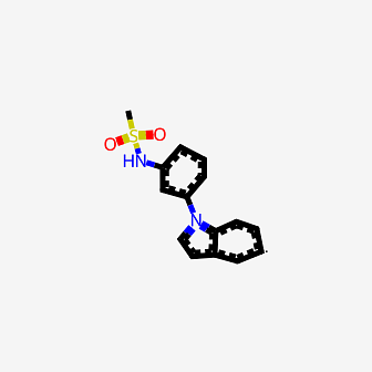 CS(=O)(=O)Nc1cccc(-n2ccc3c[c]ccc32)c1